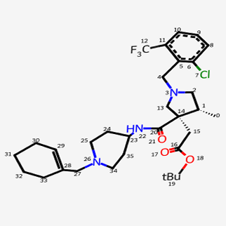 C[C@H]1CN(Cc2c(Cl)cccc2C(F)(F)F)C[C@]1(CC(=O)OC(C)(C)C)C(=O)NC1CCN(CC2=CCCCC2)CC1